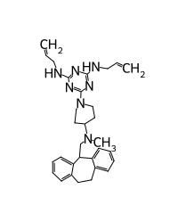 C=CCNc1nc(NCC=C)nc(N2CCC(N(C)CC3c4ccccc4CCc4ccccc43)CC2)n1